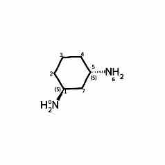 N[C@H]1CCC[C@H](N)C1